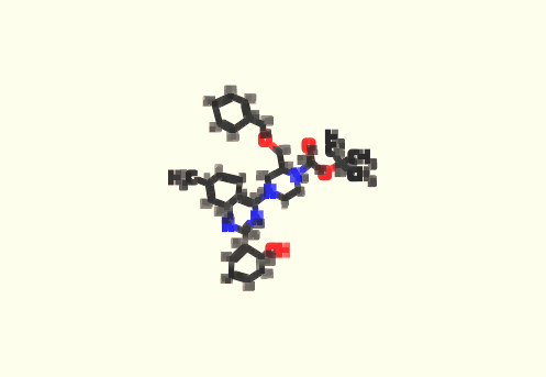 Cc1ccc2c(N3CCN(C(=O)OC(C)(C)C)C(COCc4ccccc4)C3)nc(-c3ccccc3O)nc2c1